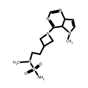 CN1C=CC2N=CN=C(N3CC(CCN(C)S(N)(=O)=O)C3)C21